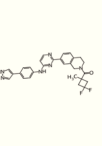 CC1(C(=O)N2CCc3ccc(-c4nccc(Nc5ccc(-c6cn[nH]c6)cc5)n4)cc3C2)CC(F)(F)C1